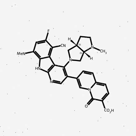 CNc1cc(F)c(C#N)c2c1[nH]c1ncc(-c3ccc4ccc(C(=O)O)c(=O)n4c3)c(N3C[C@@H]4CCN(C)[C@@H]4C3)c12